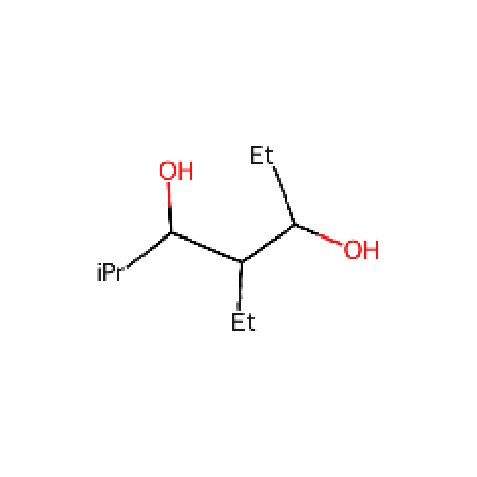 CCC(O)C(CC)C(O)C(C)C